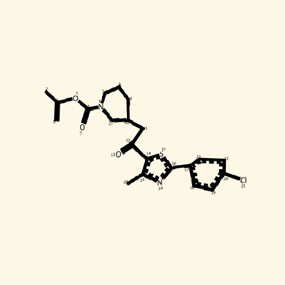 C=C(C)OC(=O)N1CCCC(CC(=O)c2sc(-c3ccc(Cl)cc3)nc2C)C1